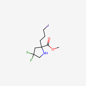 COC(=O)C1(CCCI)CC(F)(F)CN1